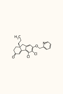 CCC[C@]12CCC(=O)C=C1c1c(cc(OCc3ccccn3)c(Cl)c1Cl)C2